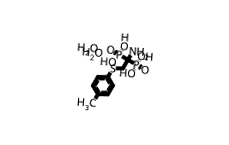 Cc1ccc(SCC(N)(P(=O)(O)O)P(=O)(O)O)cc1.O.O